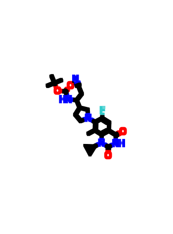 Cc1c(N2CCC(C(CC#N)NC(=O)OC(C)(C)C)C2)c(F)cc2c(=O)[nH]c(=O)n(C3CC3)c12